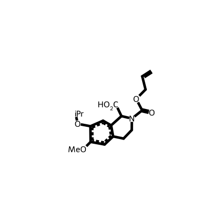 C=CCOC(=O)N1CCc2cc(OC)c(OC(C)C)cc2C1C(=O)O